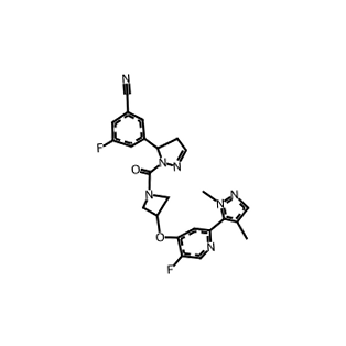 Cc1cnn(C)c1-c1cc(OC2CN(C(=O)N3N=CCC3c3cc(F)cc(C#N)c3)C2)c(F)cn1